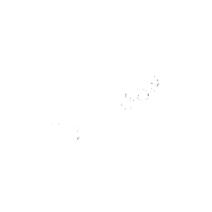 Cc1cc(N2C(=O)N(CCCCCCCCCS(=O)(=O)CCCC(F)(F)C(F)(F)F)C(C)(C)C2=O)ccc1NS(N)(=O)=O